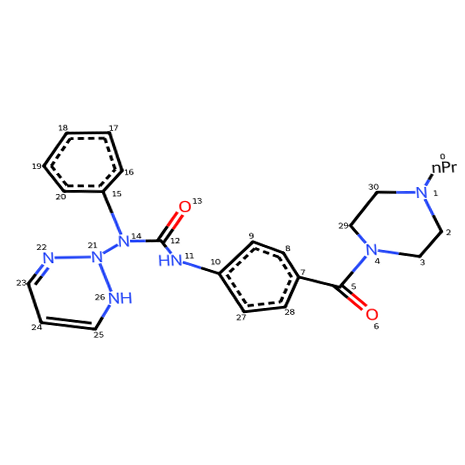 CCCN1CCN(C(=O)c2ccc(NC(=O)N(c3ccccc3)N3N=CC=CN3)cc2)CC1